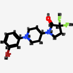 O=C1N(C2CCN(c3cccc(Br)c3)CC2)CCC1(F)F